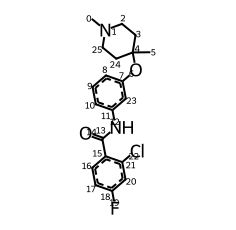 CN1CCC(C)(Oc2cccc(NC(=O)c3ccc(F)cc3Cl)c2)CC1